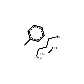 CCCCCCCCCCC[CH2][Na].Cc1ccccc1.O=S(=O)(O)O